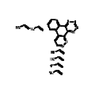 C=CC#N.C=CC#N.C=CC#N.C=CC#N.C=CC#N.C=CC#N.c1ccc2c(c1)c1ccnnc1c1nnnnc21